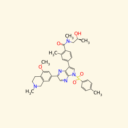 COc1cc(-c2cnc3c(n2)c(-c2ccc(C(=O)N(C)C[C@H](C)O)c(C)c2)cn3S(=O)(=O)c2ccc(C)cc2)cc2c1CCN(C)C2